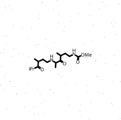 COC(=O)NCCC(C)C(=O)C(C)NCCC(C)C(=O)C(C)C